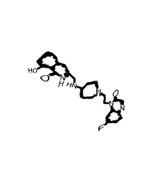 O=c1[nH]c(CNC2CCN(CCn3c(=O)cnc4ccc(F)cc43)CC2)cc2cccc(O)c12